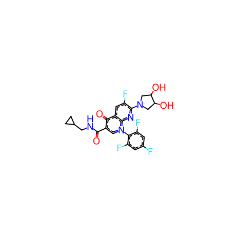 O=C(NCC1CC1)c1cn(-c2c(F)cc(F)cc2F)c2nc(N3CC(O)C(O)C3)c(F)cc2c1=O